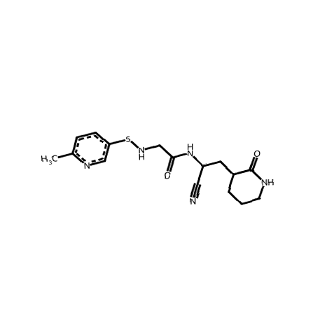 Cc1ccc(SNCC(=O)NC(C#N)CC2CCCNC2=O)cn1